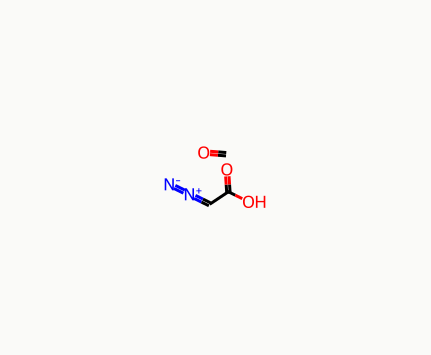 C=O.[N-]=[N+]=CC(=O)O